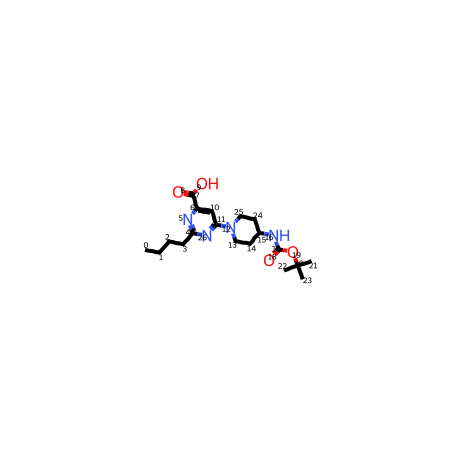 CCCCc1nc(C(=O)O)cc(N2CCC(NC(=O)OC(C)(C)C)CC2)n1